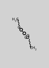 C=CCCCCC[C@H]1CO[C@H](c2ccc(-c3ccc(OCCCCCC)cc3)cc2)OC1